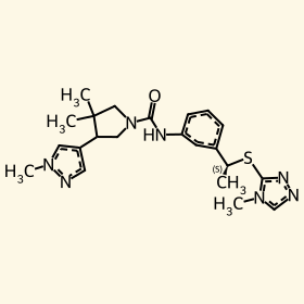 C[C@H](Sc1nncn1C)c1cccc(NC(=O)N2CC(c3cnn(C)c3)C(C)(C)C2)c1